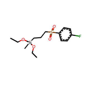 CCO[Si](C)(CCCS(=O)(=O)c1ccc(F)cc1)OCC